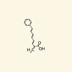 C=C(C=CC=CC=Cc1ccccc1)C(=O)O